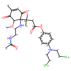 COC1C(=O)C(C)=CC(=O)C1(NCCNC(C)=O)C(C)(C)CC(=O)Oc1ccc(N(CCCl)CCCl)cc1